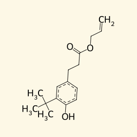 C=CCOC(=O)CCc1ccc(O)c(C(C)(C)C)c1